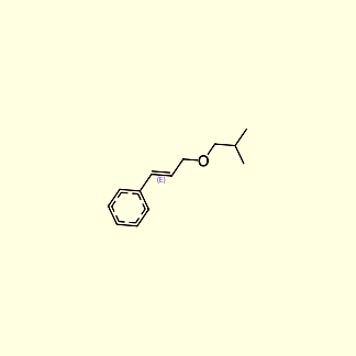 CC(C)COC/C=C/c1ccccc1